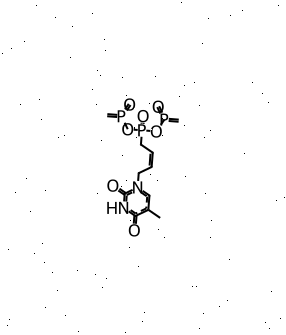 C=P(=O)OP(=O)(C/C=C\Cn1cc(C)c(=O)[nH]c1=O)OP(=C)=O